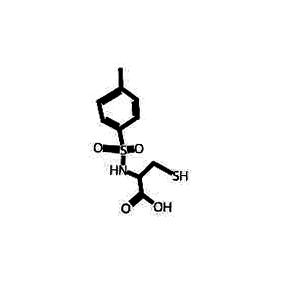 Cc1ccc(S(=O)(=O)NC(CS)C(=O)O)cc1